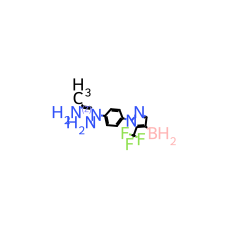 Bc1cnn(-c2ccc(N(N)/C=C(/C)N)cc2)c1C(F)(F)F